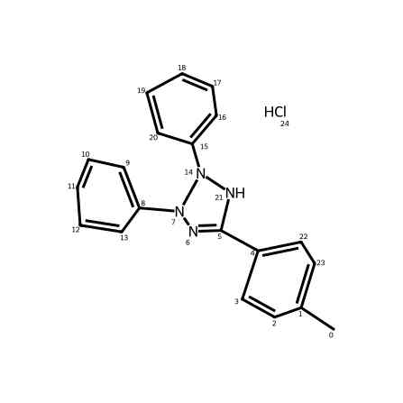 Cc1ccc(C2=NN(c3ccccc3)N(c3ccccc3)N2)cc1.Cl